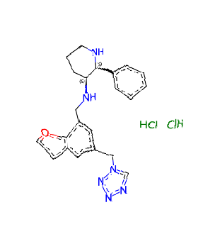 Cl.Cl.c1ccc([C@@H]2NCCC[C@@H]2NCc2cc(Cn3cnnn3)cc3ccoc23)cc1